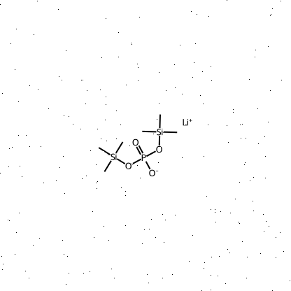 C[Si](C)(C)OP(=O)([O-])O[Si](C)(C)C.[Li+]